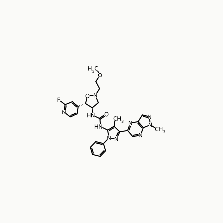 COCCN1C[C@@H](NC(=O)Nc2c(C)c(-c3cnc4c(cnn4C)n3)nn2-c2ccccc2)[C@H](c2ccnc(F)c2)O1